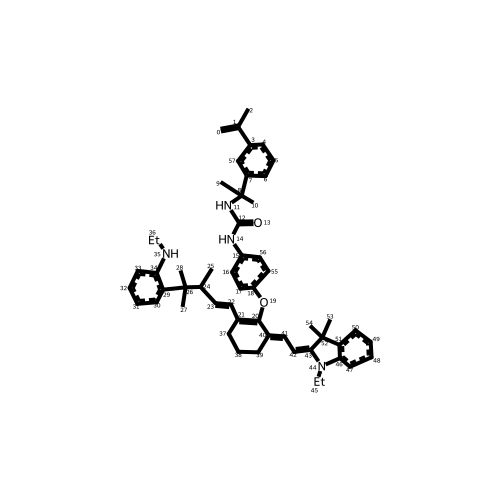 C=C(C)c1cccc(C(C)(C)NC(=O)Nc2ccc(OC3=C(/C=C/C(C)C(C)(C)c4ccccc4NCC)CCC/C3=C\C=C3\N(CC)c4ccccc4C3(C)C)cc2)c1